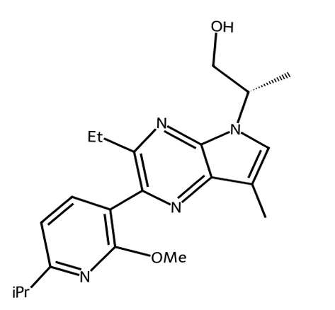 CCc1nc2c(nc1-c1ccc(C(C)C)nc1OC)c(C)cn2[C@@H](C)CO